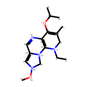 CCN1CC(C)=C(OC(C)C)C2=C1N1CN(OC)C=C1C=N2